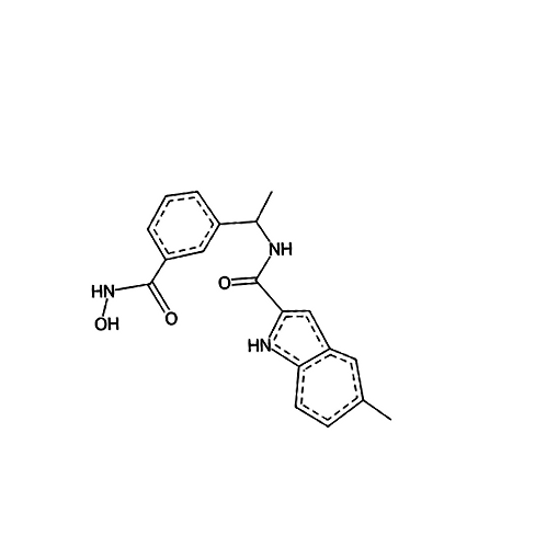 Cc1ccc2[nH]c(C(=O)NC(C)c3cccc(C(=O)NO)c3)cc2c1